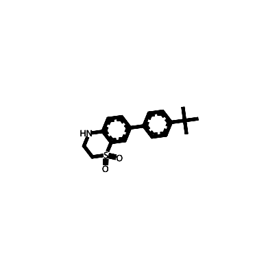 CC(C)(C)c1ccc(-c2ccc3c(c2)S(=O)(=O)CCN3)cc1